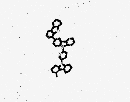 CC1CC=Cc2c1c1ccccc1n2-c1ccc(-n2c3ccccc3c3cc(-c4cccc5c4oc4ccccc45)ccc32)nc1